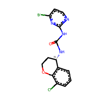 O=C(Nc1nccc(Br)n1)N[C@H]1CCOc2c(Cl)cccc21